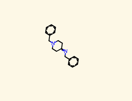 c1ccc(CN=C2CCN(Cc3ccccc3)CC2)cc1